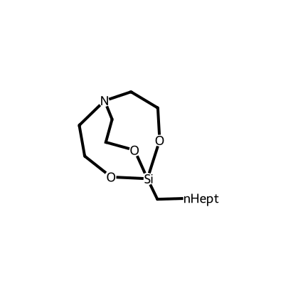 CCCCCCCC[Si]12OCCN(CCO1)CCO2